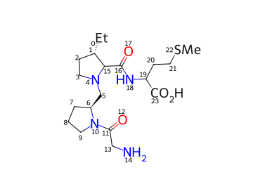 CC[C@H]1CCN(C[C@@H]2CCCN2C(=O)CN)C1C(=O)NC(CCSC)C(=O)O